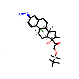 C[C@@H]1C[C@H]2[C@@H]3CCC4=C/C(=N/N)C=C[C@]4(C)[C@@]3(F)[C@@H](C)C[C@]2(C)[C@@]1(O)C(=O)CO[Si](C)(C)C(C)(C)C